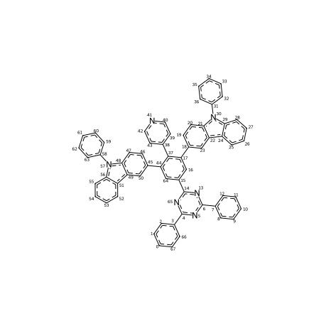 c1ccc(-c2nc(-c3ccccc3)nc(-c3cc(-c4ccc5c(c4)c4ccccc4n5-c4ccccc4)c(-c4ccncc4)c(-c4ccc5c(c4)c4ccccc4n5-c4ccccc4)c3)n2)cc1